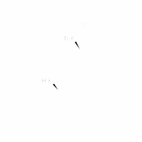 C[C@]12CC=CCC1CCC1C2CC[C@]2(C)C(=O)CCC12